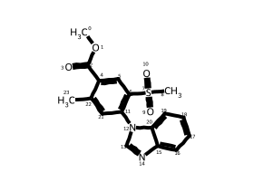 COC(=O)c1cc(S(C)(=O)=O)c(-n2cnc3ccccc32)cc1C